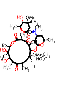 CC(=O)O.CC[C@H]1OC(=O)[C@H](C)[C@@H](O[C@H]2C[C@@](C)(OC)[C@@H](O)[C@H](C)O2)C(C)[C@@H](O[C@@H]2O[C@H](C)C[C@H](N(C)C)[C@H]2O)[C@](C)(OC)C[C@@H](C)C(=O)[C@H](C)[C@@H](O)[C@]1(C)O